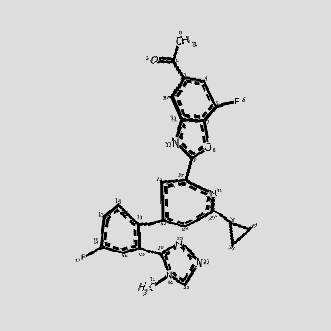 CC(=O)c1cc(F)c2oc(-c3cc(-c4ccc(F)cc4-c4nncn4C)cc(C4CC4)n3)nc2c1